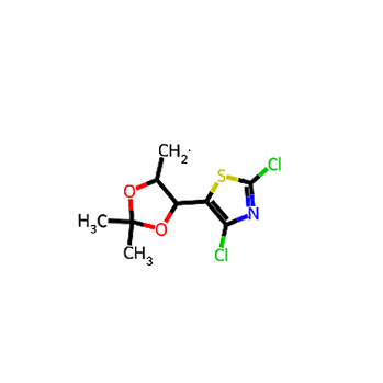 [CH2]C1OC(C)(C)OC1c1sc(Cl)nc1Cl